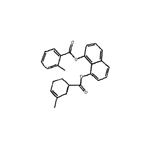 CC1=CCCC(C(=O)Oc2cccc3cccc(OC(=O)c4ccccc4C)c23)C1